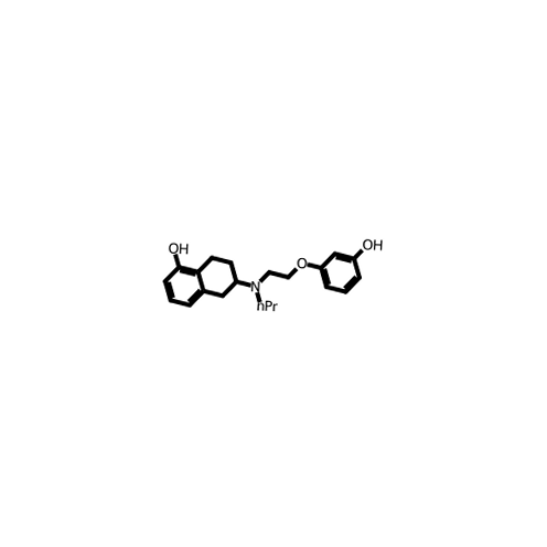 CCCN(CCOc1cccc(O)c1)C1CCc2c(O)cccc2C1